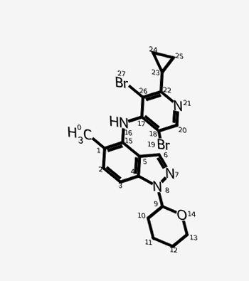 Cc1ccc2c(cnn2C2CCCCO2)c1Nc1c(Br)cnc(C2CC2)c1Br